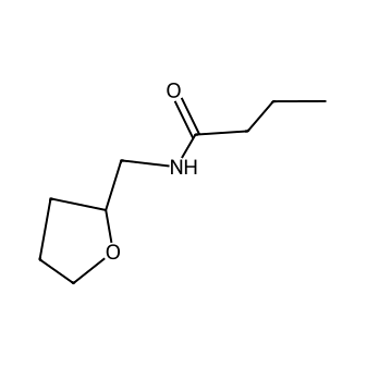 CCCC(=O)NCC1CCCO1